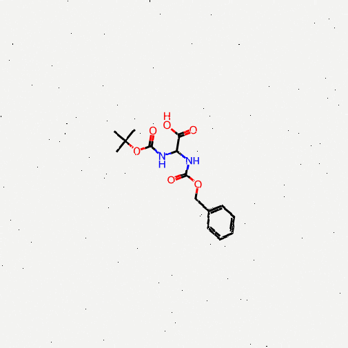 CC(C)(C)OC(=O)NC(NC(=O)OCc1ccccc1)C(=O)O